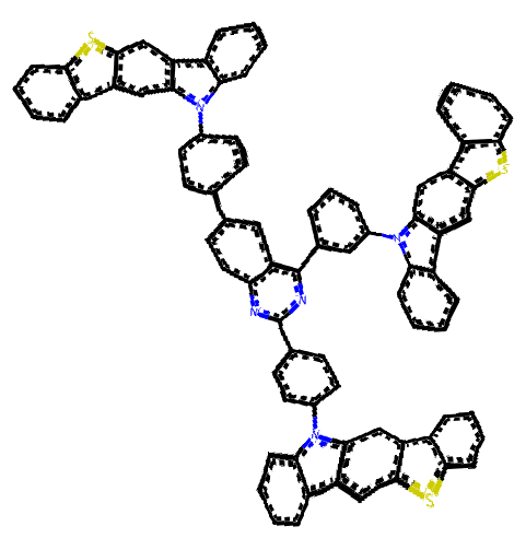 c1cc(-c2nc(-c3ccc(-n4c5ccccc5c5cc6sc7ccccc7c6cc54)cc3)nc3ccc(-c4ccc(-n5c6ccccc6c6cc7sc8ccccc8c7cc65)cc4)cc23)cc(-n2c3ccccc3c3cc4sc5ccccc5c4cc32)c1